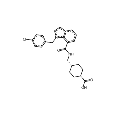 O=C(NC[C@H]1CC[C@H](C(=O)O)CC1)c1cccc2ccn(Cc3ccc(Cl)cc3)c12